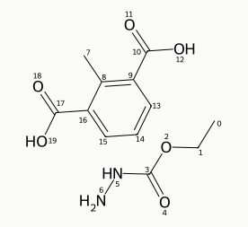 CCOC(=O)NN.Cc1c(C(=O)O)cccc1C(=O)O